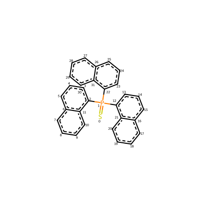 S=P(c1cccc2ccccc12)(c1cccc2ccccc12)c1cccc2ccccc12